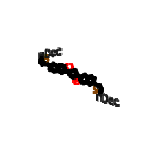 CCCCCCCCCCc1ccc(-c2ccc3cc4c(cc3c2)oc2cc3c(cc24)oc2cc4cc(-c5ccc(CCCCCCCCCC)s5)ccc4cc23)s1